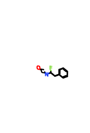 O=C=NC(F)Cc1ccccc1